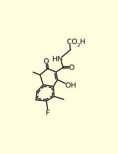 Cc1c(F)ccc2c1C(O)=C(C(=O)NCC(=O)O)C(=O)C2C